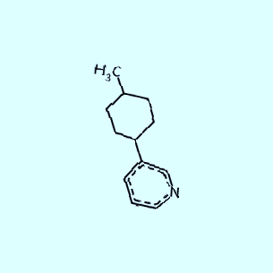 CC1CCC(c2cccnc2)CC1